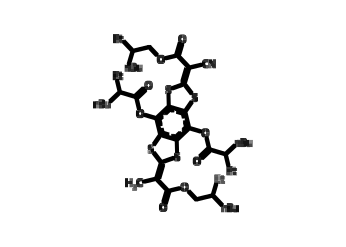 CCCCC(CC)COC(=O)C(C)=C1Sc2c(OC(=O)C(CC)CCCC)c3c(c(OC(=O)C(CC)CCCC)c2S1)SC(=C(C#N)C(=O)OCC(CC)CCCC)S3